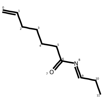 C=CCCCCC(=O)N=CCC